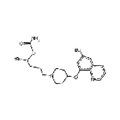 CCCCc1cc(OC2CCN(CCCC(OC(N)=O)C(C)(C)C)CC2)c2ncccc2c1